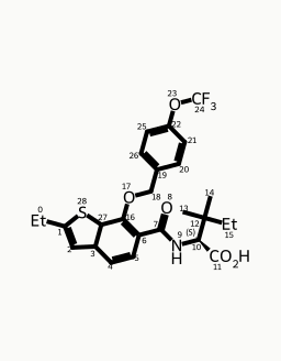 CCC1=CC2C=CC(C(=O)N[C@H](C(=O)O)C(C)(C)CC)=C(OCc3ccc(OC(F)(F)F)cc3)C2S1